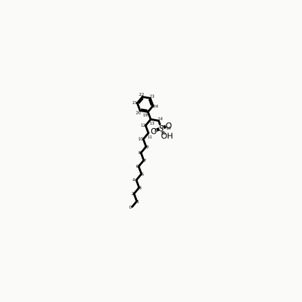 CCCCCCCCCCCCCC(CS(=O)(=O)O)c1ccccc1